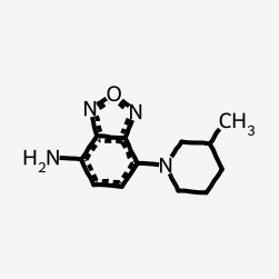 CC1CCCN(c2ccc(N)c3nonc23)C1